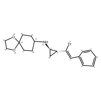 CC/C(=C\c1ccccc1)[C@@H]1C[C@H]1NC1CCC2(CC1)OCCO2